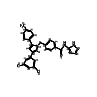 O=C(Nc1nnn[nH]1)c1ccc(Cn2nc(-c3cc(Cl)cc(Cl)c3)cc2-c2ccc(C(F)(F)F)cc2)cc1